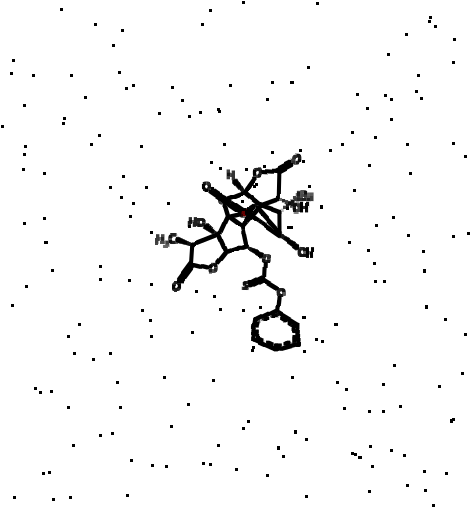 C[C@@H]1C(=O)OC2[C@H](OC(=S)Oc3ccccc3)C34C5OC(=O)C3(O[C@@H]3OC(=O)[C@H](O)C34[C@H](C(C)(C)C)[C@H]5O)[C@]21O